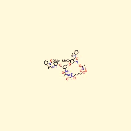 C=Nc1cc(OCc2cc(COc3cc4c(cc3OC)C(=O)N3c5ccccc5C[C@H]3CN4)cc(NC(=O)[C@H](C)NC(=O)[C@H](C)NC(=O)CCCCC(=O)ON3C(=O)CCC3=O)c2)c(OC)cc1C(=O)N1c2ccccc2C[C@H]1C